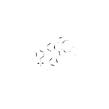 Cc1nc(C(F)(F)F)cn1-c1ccc(-c2cc(F)c(CO)c(S(C)(=O)=O)c2)cc1-c1nc(C(C)CO)oc1-c1ccc(OC(F)(F)F)cc1